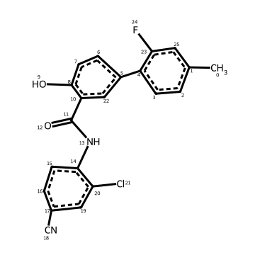 Cc1ccc(-c2ccc(O)c(C(=O)Nc3ccc(C#N)cc3Cl)c2)c(F)c1